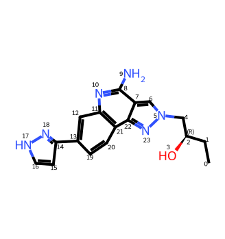 CC[C@@H](O)Cn1cc2c(N)nc3cc(-c4cc[nH]n4)ccc3c2n1